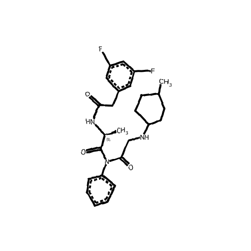 CC1CCC(NCC(=O)N(C(=O)[C@H](C)NC(=O)Cc2cc(F)cc(F)c2)c2ccccc2)CC1